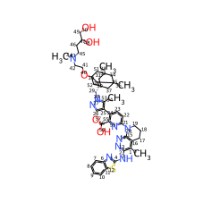 Cc1c(Nc2nc3ccccc3s2)nnc2c1CCCN2c1ccc(-c2cnn(C[C@]34C[C@]5(C)C[C@](C)(C3)C[C@@](OCCN(C)CC[C@H](O)CO)(C5)C4)c2C)c(C(=O)O)n1